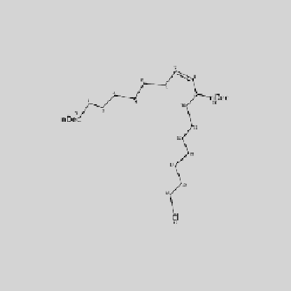 CCCCCCCCCCCCCCCC/C=C\C(CCCCCCCCl)CCCCCCCCCC